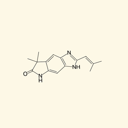 CC(C)=Cc1nc2cc3c(cc2[nH]1)NC(=O)C3(C)C